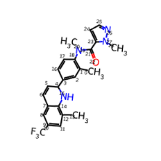 Cc1cc(C2C=Cc3cc(C(F)(F)F)cc(C)c3N2)ccc1N(C)C(=O)c1ccnn1C